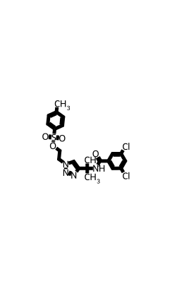 Cc1ccc(S(=O)(=O)OCCn2cc(C(C)(C)NC(=O)c3cc(Cl)cc(Cl)c3)nn2)cc1